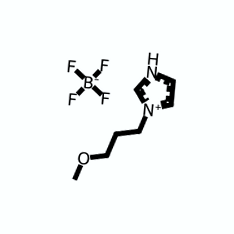 COCCC[n+]1cc[nH]c1.F[B-](F)(F)F